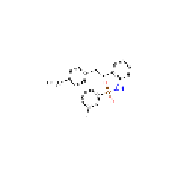 Cc1cccc(S(=O)(=O)Nc2ccccc2CCc2ccc(C(=O)O)cc2)c1